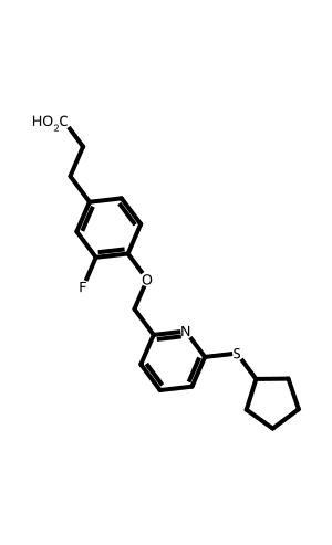 O=C(O)CCc1ccc(OCc2cccc(SC3CCCC3)n2)c(F)c1